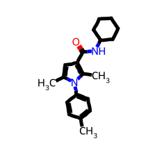 Cc1ccc(-n2c(C)cc(C(=O)NC3CCCCC3)c2C)cc1